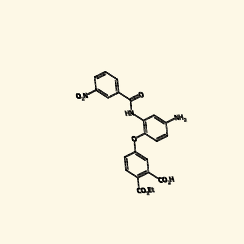 CCOC(=O)c1ccc(Oc2ccc(N)cc2NC(=O)c2cccc([N+](=O)[O-])c2)cc1C(=O)O